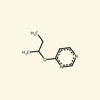 CCC(C)Oc1ccn[c]n1